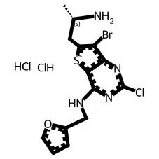 C[C@H](N)Cc1sc2c(NCc3ccco3)nc(Cl)nc2c1Br.Cl.Cl